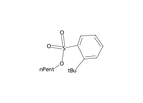 CCCCCOS(=O)(=O)c1ccccc1C(C)(C)C